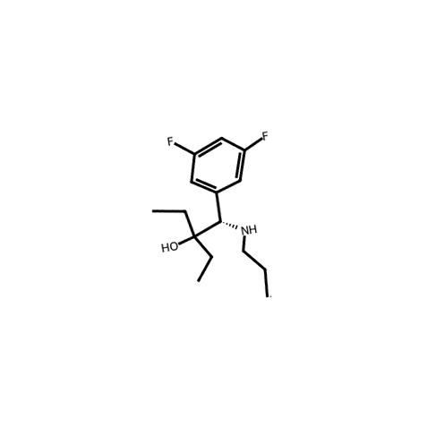 [CH2]CCN[C@@H](c1cc(F)cc(F)c1)C(O)(CC)CC